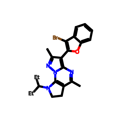 CCC(CC)N1CCc2c(C)nc3c(-c4oc5ccccc5c4Br)c(C)nn3c21